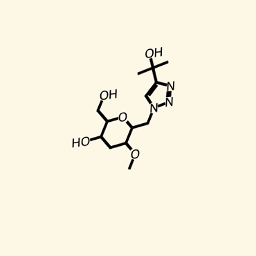 COC1CC(O)C(CO)OC1Cn1cc(C(C)(C)O)nn1